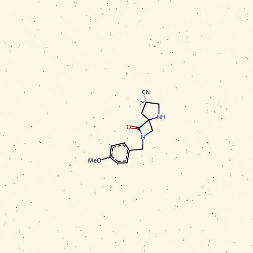 COc1ccc(CN2CC3(C[C@H](C#N)CN3)C2=O)cc1